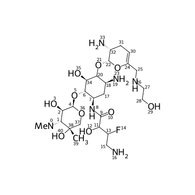 CN[C@@H]1[C@@H](O)[C@@H](O[C@H]2[C@H](NC(=O)C(O)C(F)CN)C[C@H](N)C(O[C@H]3OC(CNCCO)=CC[C@H]3N)[C@@H]2O)OC[C@]1(C)O